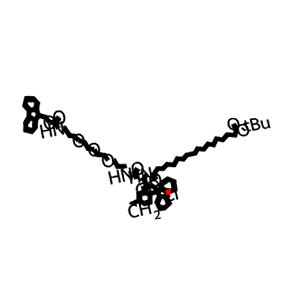 C=Cc1ccc(C(OC(=O)[C@H](CC(=O)NCCCOCCOCCOCCCNC(=O)OCC2c3ccccc3-c3ccccc32)NC(=O)CCCCCCCCCCCCCCCCC(=O)OC(C)(C)C)(c2ccccc2)c2ccccc2Cl)cc1